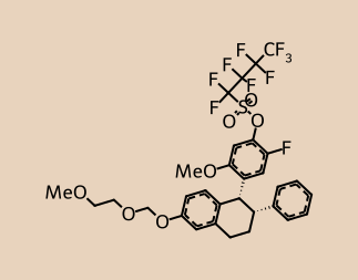 COCCOCOc1ccc2c(c1)CC[C@@H](c1ccccc1)[C@H]2c1cc(F)c(OS(=O)(=O)C(F)(F)C(F)(F)C(F)(F)C(F)(F)F)cc1OC